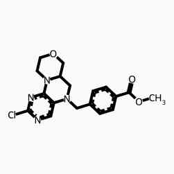 COC(=O)c1ccc(CN2CC3COCCN3c3nc(Cl)ncc32)cc1